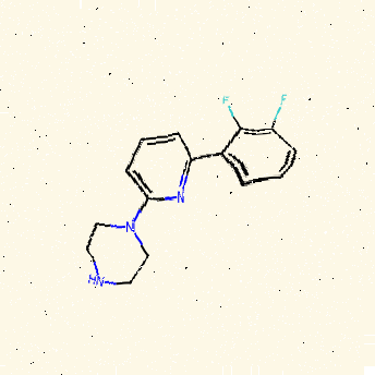 Fc1cccc(-c2cccc(N3CCNCC3)n2)c1F